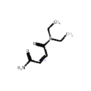 CCN(CC)C(=O)/C=C\C(N)=O